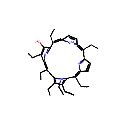 CCC1=C(O)c2nc1c(CC)c1c(CC)c(CC)c(c(CC)c3nc(c(CC)c4ccc([nH]4)c2CC)C=C3)n1CC